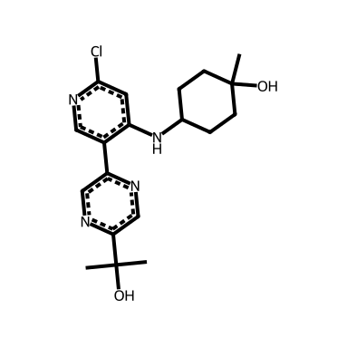 CC1(O)CCC(Nc2cc(Cl)ncc2-c2cnc(C(C)(C)O)cn2)CC1